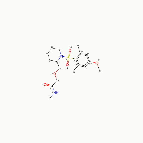 CNC(=O)COCC1CCCCN1S(=O)(=O)c1c(C)cc(OC)cc1C